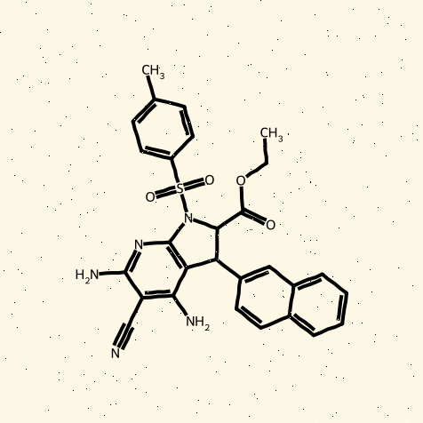 CCOC(=O)C1C(c2ccc3ccccc3c2)c2c(nc(N)c(C#N)c2N)N1S(=O)(=O)c1ccc(C)cc1